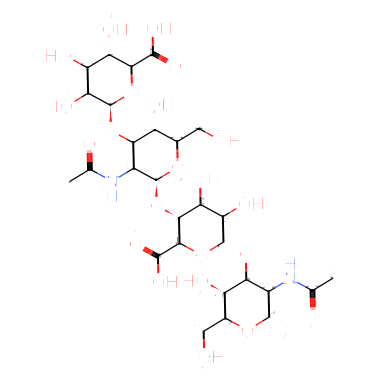 CC(=O)NC1C(O[C@@H]2OC(C(=O)O)[C@@H](O)C(O)C2O)[C@H](O)C(CO)O[C@H]1O[C@@H]1C(C(=O)O)O[C@@H](OC2C(NC(C)=O)[C@H](C)OC(CO)[C@H]2O)C(O)C1O